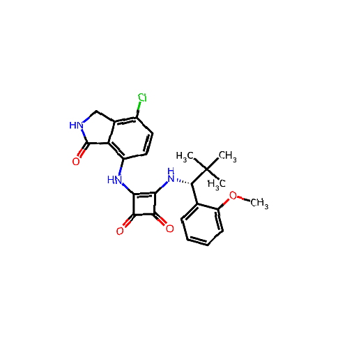 COc1ccccc1[C@H](Nc1c(Nc2ccc(Cl)c3c2C(=O)NC3)c(=O)c1=O)C(C)(C)C